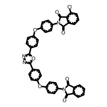 O=C1c2ccccc2C(=O)N1c1ccc(Oc2ccc(-c3nnc(-c4ccc(Oc5ccc(N6C(=O)c7cccc(Cl)c7C6=O)cc5)cc4)o3)cc2)cc1